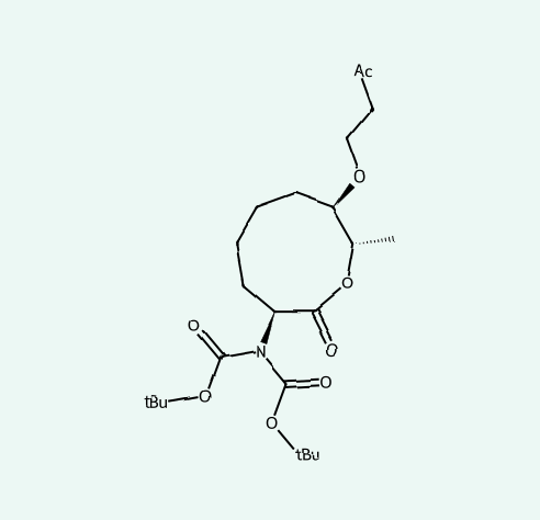 CC(=O)CCO[C@@H]1CCCC[C@H](N(C(=O)OC(C)(C)C)C(=O)OC(C)(C)C)C(=O)O[C@H]1C